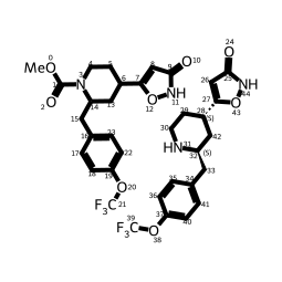 COC(=O)N1CCC(c2cc(=O)[nH]o2)CC1Cc1ccc(OC(F)(F)F)cc1.O=c1cc([C@H]2CCN[C@H](Cc3ccc(OC(F)(F)F)cc3)C2)o[nH]1